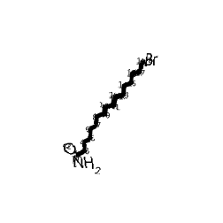 NC(=O)CCCCCCCCCCCCCCCCBr